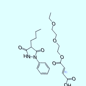 CCCCC1C(=O)NN(c2ccccc2)C1=O.CCOCCOCCOC(=O)/C=C/C(=O)O